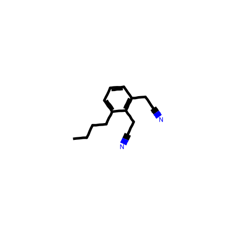 CCCCc1cccc(CC#N)c1CC#N